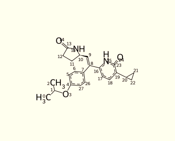 CC(C)Oc1ccc(/C(=C\[C@H]2CCC(=O)N2)c2ccc(C3CC3)c(=O)[nH]2)cc1